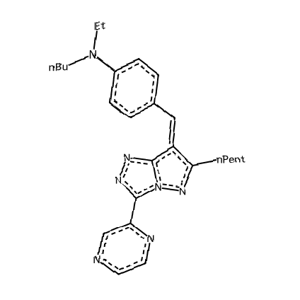 CCCCCc1nn2c(-c3cnccn3)nnc2/c1=C\c1ccc(N(CC)CCCC)cc1